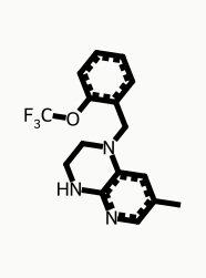 Cc1cnc2c(c1)N(Cc1ccccc1OC(F)(F)F)CCN2